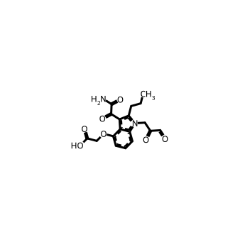 CCCc1c(C(=O)C(N)=O)c2c(OCC(=O)O)cccc2n1CC(=O)C=O